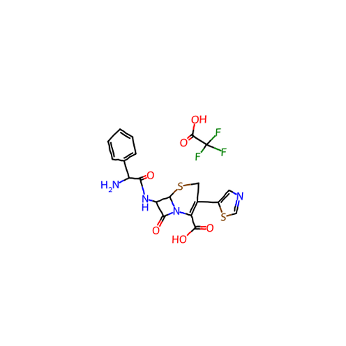 NC(C(=O)NC1C(=O)N2C(C(=O)O)=C(c3cncs3)CSC12)c1ccccc1.O=C(O)C(F)(F)F